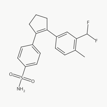 Cc1ccc(C2=C(c3ccc(S(N)(=O)=O)cc3)CCC2)cc1C(F)F